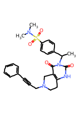 CC(c1ccc(S(=O)(=O)N(C)C)cc1)n1c(=O)[nH]c2c(c1=O)CN(CC#Cc1ccccc1)CC2